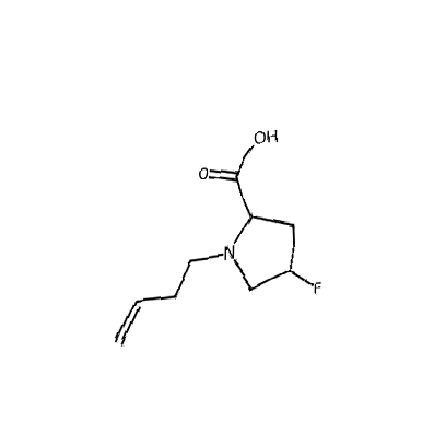 C=CCCN1CC(F)CC1C(=O)O